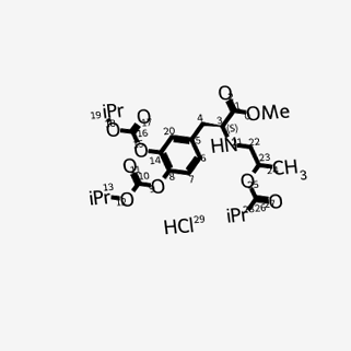 COC(=O)[C@H](Cc1ccc(OC(=O)OC(C)C)c(OC(=O)OC(C)C)c1)NCC(C)OC(=O)C(C)C.Cl